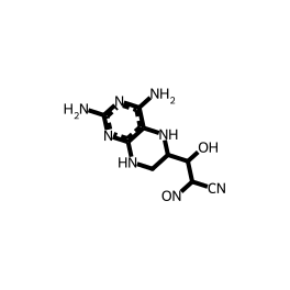 N#CC(N=O)C(O)C1CNc2nc(N)nc(N)c2N1